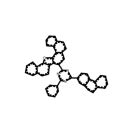 c1ccc(-c2nc(-c3ccc4c(ccc5ccccc54)c3)nc(-c3cc4ccc5ccccc5c4c4oc5c6ccccc6ccc5c34)n2)cc1